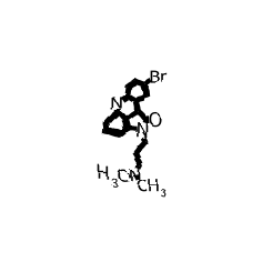 CN(C)CCCN1C(=O)c2c3cc(Br)ccc3nc3cccc1c23